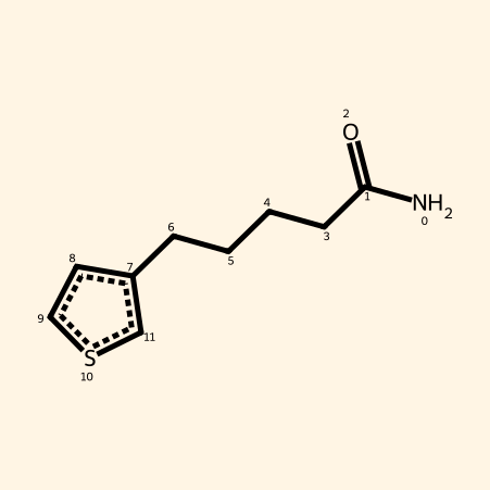 NC(=O)CCCCc1ccsc1